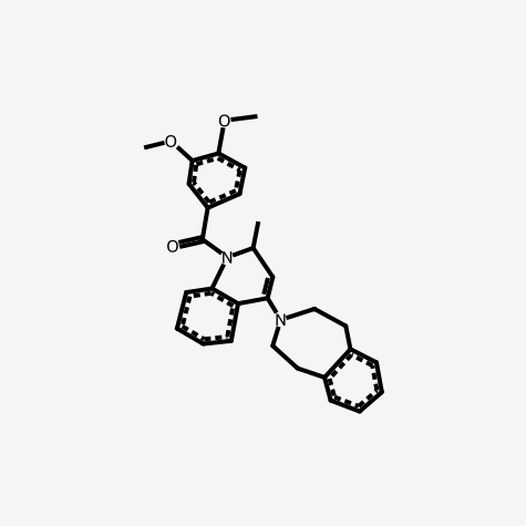 COc1ccc(C(=O)N2c3ccccc3C(N3CCc4ccccc4CC3)=CC2C)cc1OC